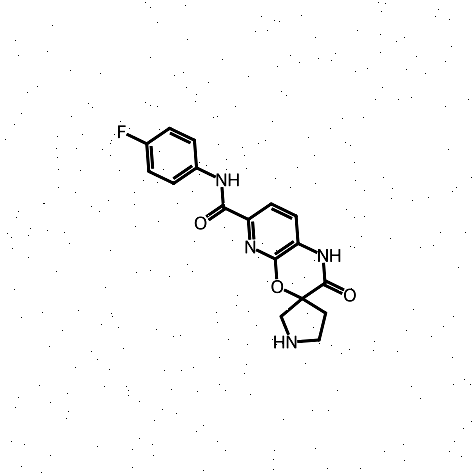 O=C(Nc1ccc(F)cc1)c1ccc2c(n1)OC1(CCNC1)C(=O)N2